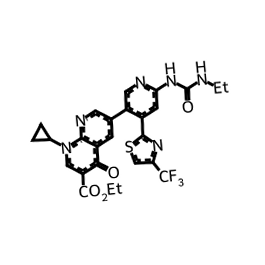 CCNC(=O)Nc1cc(-c2nc(C(F)(F)F)cs2)c(-c2cnc3c(c2)c(=O)c(C(=O)OCC)cn3C2CC2)cn1